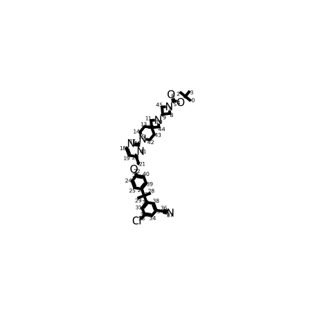 CC(C)(C)OC(=O)N1CC(N2CC3(CCN(c4nccc(COc5ccc(C(C)(C)c6cc(Cl)cc(C#N)c6)cc5)n4)CC3)C2)C1